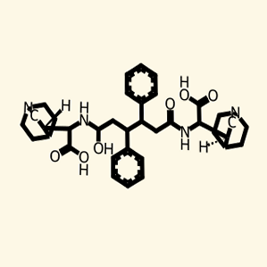 O=C(CC(c1ccccc1)C(CC(O)NC(C(=O)O)[C@H]1CN2CCC1CC2)c1ccccc1)NC(C(=O)O)[C@H]1CN2CCC1CC2